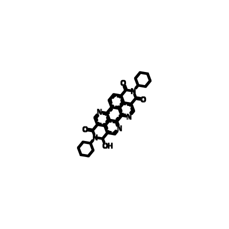 O=C1c2ccc3c4ncc5c6c(cnc(c7ncc(c2c37)C(=O)N1C1CCCCC1)c64)C(O)N(C1CCCCC1)C5=O